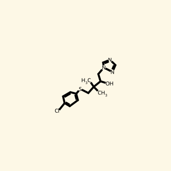 CC(C)(CSc1ccc(Cl)cc1)C(O)Cn1cncn1